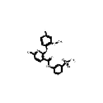 COc1cc(F)ccc1Oc1nc(Cl)ccc1C(=O)Nc1cccc(S(C)(=O)=O)c1